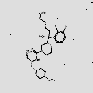 CNC[C@H](C[C@H]1CC[C@H](OC)CC1)NC(=O)N1CCC[C@@H]([C@@](O)(CCCCOC)c2cccc(F)c2F)C1